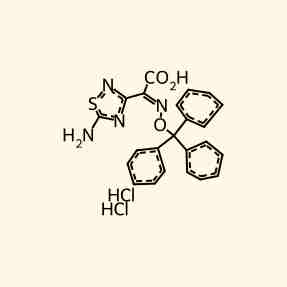 Cl.Cl.Nc1nc(C(=NOC(c2ccccc2)(c2ccccc2)c2ccccc2)C(=O)O)ns1